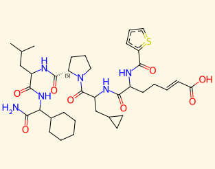 CC(C)CC(NC(=O)[C@@H]1CCCN1C(=O)C(CC1CC1)NC(=O)C(CCC=CC(=O)O)NC(=O)c1cccs1)C(=O)NC(C(N)=O)C1CCCCC1